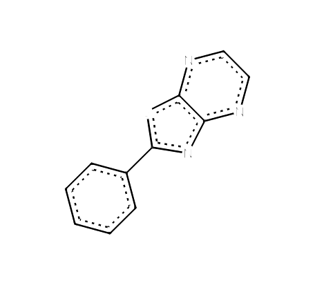 c1ccc(-c2nc3nccnc3s2)cc1